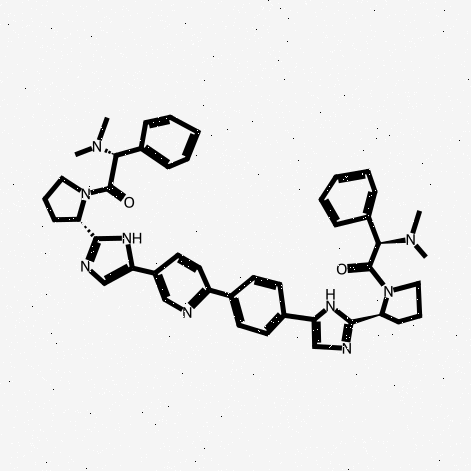 CN(C)[C@@H](C(=O)N1CCC[C@H]1c1ncc(-c2ccc(-c3ccc(-c4cnc([C@@H]5CCCN5C(=O)[C@@H](c5ccccc5)N(C)C)[nH]4)cn3)cc2)[nH]1)c1ccccc1